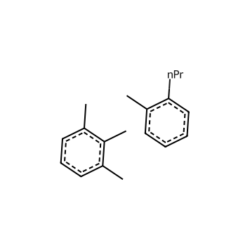 CCCc1ccccc1C.Cc1cccc(C)c1C